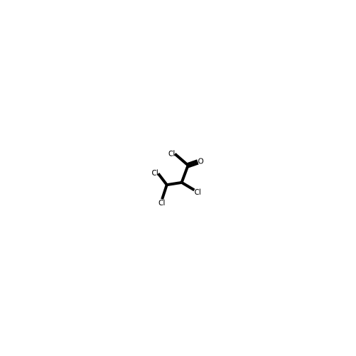 O=C(Cl)C(Cl)C(Cl)Cl